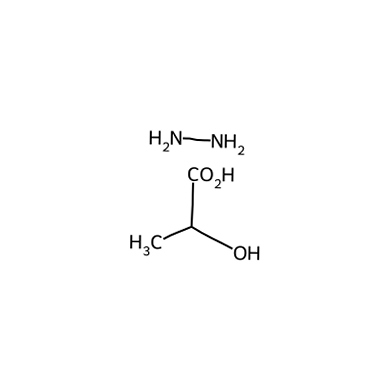 CC(O)C(=O)O.NN